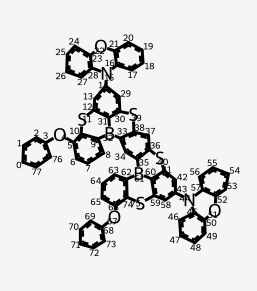 c1ccc(Oc2cccc3c2Sc2cc(N4c5ccccc5Oc5ccccc54)cc4c2B3c2cc3c(cc2S4)Sc2cc(N4c5ccccc5Oc5ccccc54)cc4c2B3c2cccc(Oc3ccccc3)c2S4)cc1